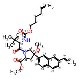 C=CCCCCOC(=O)N[C@H](C(=O)N1CC(OC)(c2ccc3ccc(C=C)cc3c2)CC1C(=O)OC)C(C)(C)C